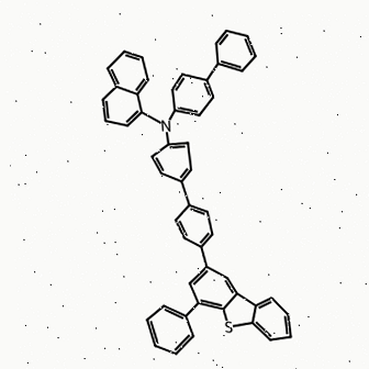 c1ccc(-c2ccc(N(c3ccc(-c4ccc(-c5cc(-c6ccccc6)c6sc7ccccc7c6c5)cc4)cc3)c3cccc4ccccc34)cc2)cc1